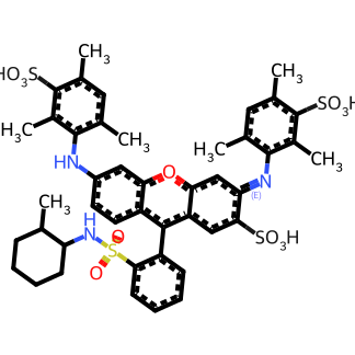 Cc1cc(C)c(S(=O)(=O)O)c(C)c1/N=c1\cc2oc3cc(Nc4c(C)cc(C)c(S(=O)(=O)O)c4C)ccc3c(-c3ccccc3S(=O)(=O)NC3CCCCC3C)c-2cc1S(=O)(=O)O